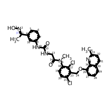 C/C(=N\O)c1cccc(NC(=O)NCC(=O)N(C)c2ccc(Cl)c(COc3cccc4ccc(C)nc34)c2Cl)c1